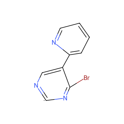 Brc1n[c]ncc1-c1ccccn1